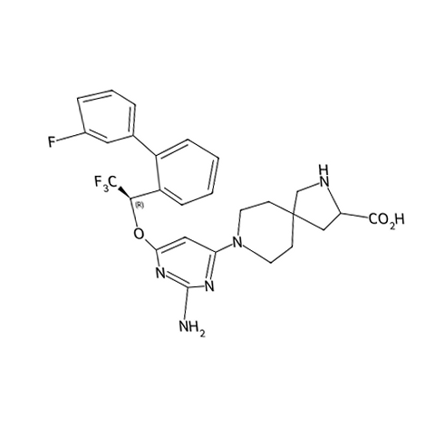 Nc1nc(O[C@H](c2ccccc2-c2cccc(F)c2)C(F)(F)F)cc(N2CCC3(CC2)CNC(C(=O)O)C3)n1